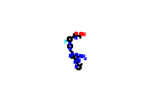 Cc1cccnc1-c1nc2c3cnn(CCN4CCN(c5cc(-c6coc(C(C)O)n6)ccc5F)CC4)c3nc(N)n2n1